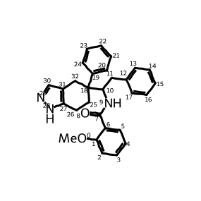 COc1ccccc1C(=O)NC(Cc1ccccc1)C1(c2ccccc2)CCc2[nH]ncc2C1